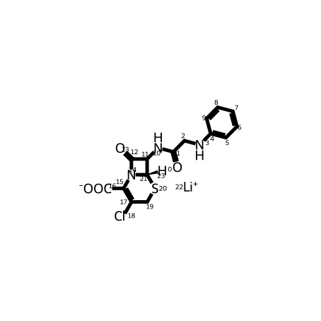 O=C(CNc1ccccc1)NC1C(=O)N2C(C(=O)[O-])=C(Cl)CS[C@@H]12.[Li+]